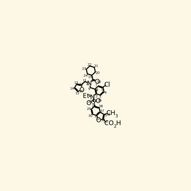 CCN(c1ccc(Cl)cc1CN(Cc1ccco1)C(=O)C1CCCCC1)S(=O)(=O)c1ccc2oc(C(=O)O)c(C)c2c1